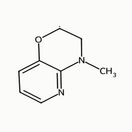 CN1C[CH]Oc2cccnc21